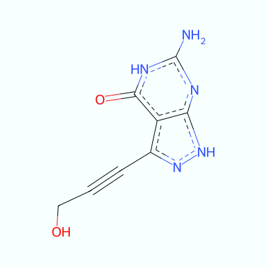 Nc1nc2[nH]nc(C#CCO)c2c(=O)[nH]1